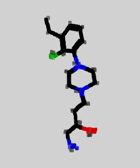 CCc1cccc(N2CCN(CCC(O)CN)CC2)c1Cl